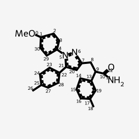 COc1ccc(-n2nc(CC(C(N)=O)c3cccc(C)c3)cc2-c2ccc(C)cc2)cc1